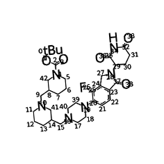 CC(C)(C)OC(=O)N1CCCC(CN2CCCC(CN3CCN(c4ccc5c(c4F)CN(C4CCC(=O)NC4=O)C5=O)CC3)C2)C1